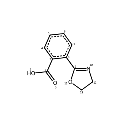 O=C(O)c1ccccc1C1=NCCO1